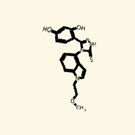 COCCn1ccc2c(-n3c(-c4ccc(O)cc4O)n[nH]c3=S)cccc21